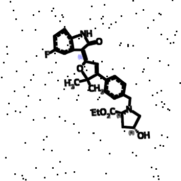 CCOC(=O)[C@@H]1C[C@@H](O)CN1Cc1ccc(C2=C/C(=C3\C(=O)Nc4ccc(F)cc43)OC2(C)C)cc1